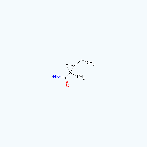 CCC1CC1(C)C([NH])=O